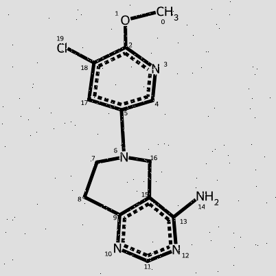 COc1ncc(N2CCc3ncnc(N)c3C2)cc1Cl